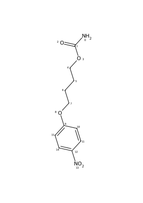 NC(=O)OCCCCOc1ccc([N+](=O)[O-])cc1